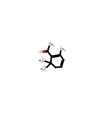 CC(=O)C1=C(C)C=CCC1(C)C